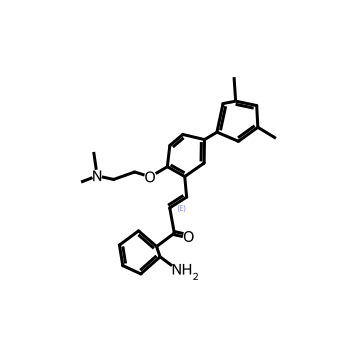 Cc1cc(C)cc(-c2ccc(OCCN(C)C)c(/C=C/C(=O)c3ccccc3N)c2)c1